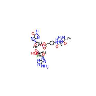 CC(C)[C@H](N)C(=O)N[C@@H](C)C(=O)Nc1ccc(CSP2(=O)OC[C@H]3O[C@@H](n4cnc5c(N)ncnc54)[C@H](F)[C@@H]3P(=O)(O)OC[C@H]3O[C@@H](n4cnc5c(=O)[nH]cnc54)C[C@@H]3O2)cc1